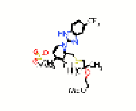 COCCOC(C)(C)CSCc1c(C)c(OC)cc[n+]1-c1nc2cc(C(F)(F)F)ccc2[nH]1.CS(=O)(=O)[O-]